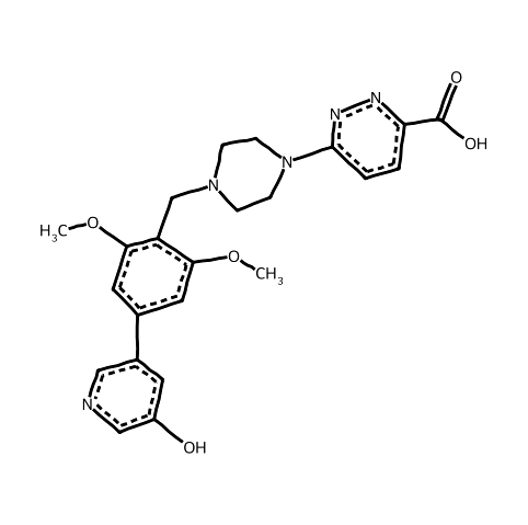 COc1cc(-c2cncc(O)c2)cc(OC)c1CN1CCN(c2ccc(C(=O)O)nn2)CC1